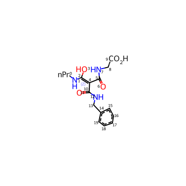 CCCN/C(O)=C(/C(=O)NCC(=O)O)C(=O)NCc1ccccc1